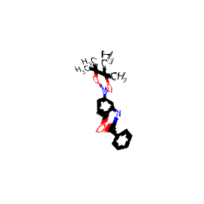 CC1(C)ON(c2ccc3oc(-c4ccccc4)nc3c2)OC1(C)C